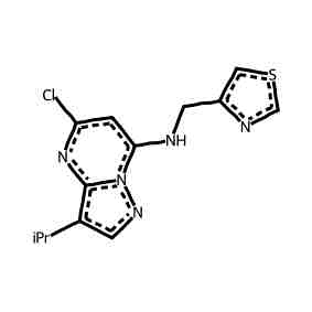 CC(C)c1cnn2c(NCc3cscn3)cc(Cl)nc12